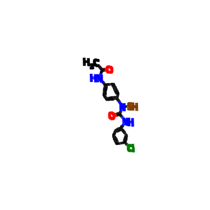 CC(=O)Nc1ccc(N(S)C(=O)Nc2cccc(Cl)c2)cc1